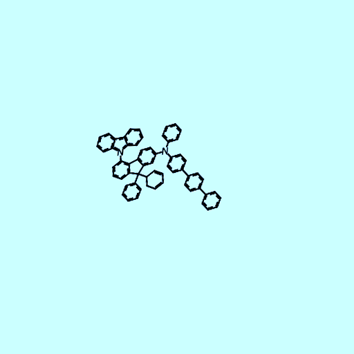 C1=CCC(C2(c3ccccc3)c3cc(N(c4ccccc4)c4ccc(-c5ccc(-c6ccccc6)cc5)cc4)ccc3-c3c(-n4c5ccccc5c5ccccc54)cccc32)C=C1